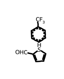 O=CC1=CC=C[SH]1c1ccc(C(F)(F)F)cc1